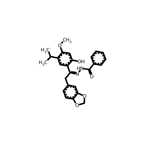 COc1cc(O)c(C(Cc2ccc3c(c2)OCO3)=NNC(=O)c2ccccc2)cc1C(C)C